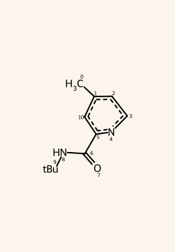 Cc1ccnc(C(=O)NC(C)(C)C)c1